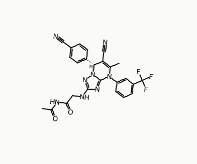 CC(=O)NC(=O)CNc1nc2n(n1)[C@H](c1ccc(C#N)cc1)C(C#N)=C(C)N2c1cccc(C(F)(F)F)c1